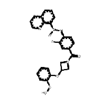 COc1ccccc1OC1CN(C(=O)c2ccc(N[S+]([O-])c3cccc4cccnc34)c(F)c2)C1